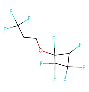 FC1C(F)(F)C(F)(F)C1(F)OCCC(F)(F)F